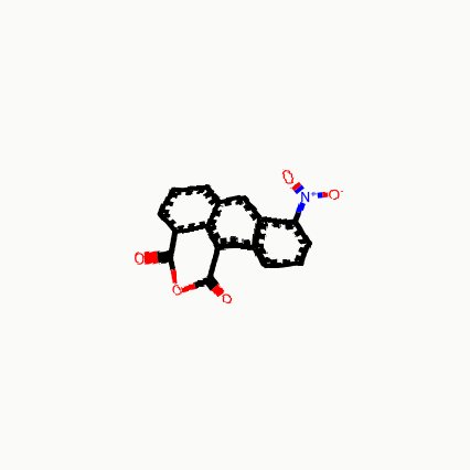 O=C1OC(=O)c2c3cccc([N+](=O)[O-])c3cc3cccc1c23